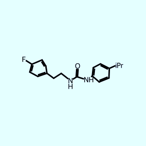 CC(C)c1ccc(NC(=O)NCCc2ccc(F)cc2)cc1